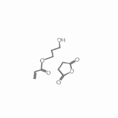 C=CC(=O)OCCCO.O=C1CCC(=O)O1